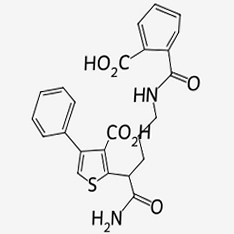 NC(=O)C(CCCNC(=O)c1ccccc1C(=O)O)c1scc(-c2ccccc2)c1C(=O)O